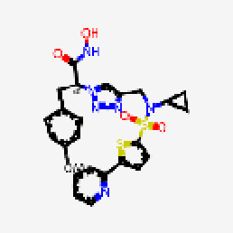 COc1ccc(C[C@@H](C(=O)NO)n2cc(CN(C3CC3)S(=O)(=O)c3ccc(-c4ccccn4)s3)nn2)cc1